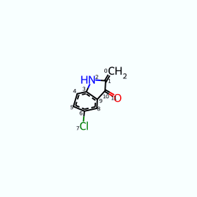 C=C1Nc2ccc(Cl)cc2C1=O